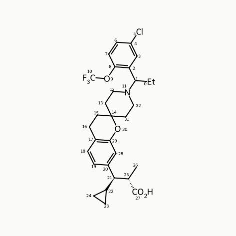 CCC(c1cc(Cl)ccc1OC(F)(F)F)N1CCC2(CCc3ccc([C@H](C4CC4)[C@H](C)C(=O)O)cc3O2)CC1